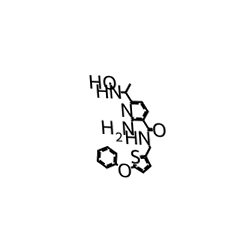 CC(NO)c1ccc(C(=O)NCc2ccc(Oc3ccccc3)s2)c(N)n1